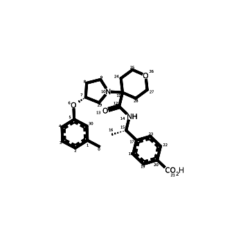 Cc1cccc(O[C@@H]2CCN(C3(C(=O)N[C@@H](C)c4ccc(C(=O)O)cc4)CCOCC3)C2)c1